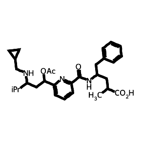 CC(=O)OC(CC(NCC1CC1)C(C)C)c1cccc(C(=O)NC(Cc2ccccc2)CC(C)C(=O)O)n1